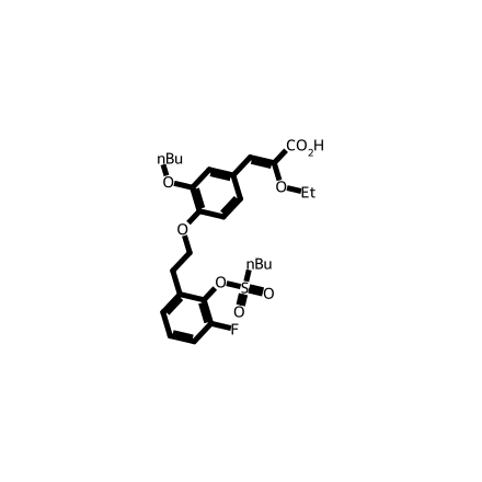 CCCCOc1cc(C=C(OCC)C(=O)O)ccc1OCCc1cccc(F)c1OS(=O)(=O)CCCC